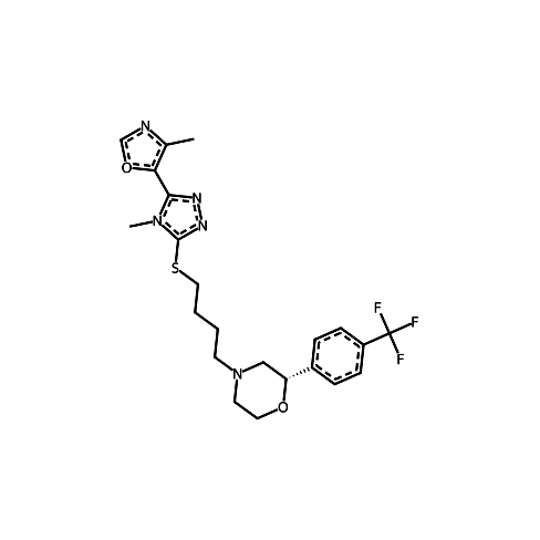 Cc1ncoc1-c1nnc(SCCCCN2CCO[C@@H](c3ccc(C(F)(F)F)cc3)C2)n1C